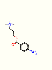 C[N+](C)(C)CCCOC(=O)c1ccc(N)cc1